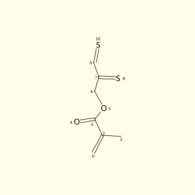 C=C(C)C(=O)OCC(=S)C=S